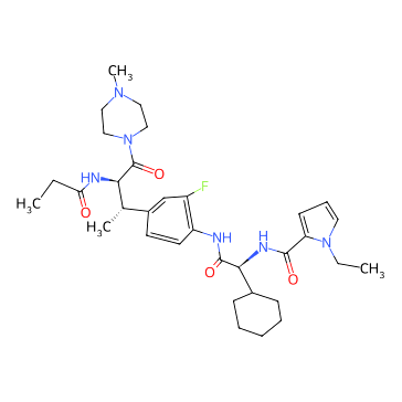 CCC(=O)N[C@@H](C(=O)N1CCN(C)CC1)[C@@H](C)c1ccc(NC(=O)[C@@H](NC(=O)c2cccn2CC)C2CCCCC2)c(F)c1